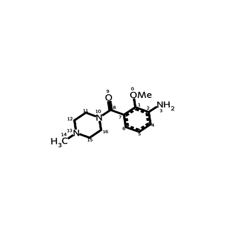 COc1c(N)cccc1C(=O)N1CCN(C)CC1